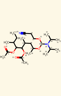 CCC(C)C(OC(C)=O)C(OC(C)=O)C(C)CC(C)OB(OCCC#N)N(C(C)C)C(C)C